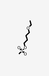 CCOCCCCOS(C)(=O)=O